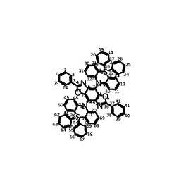 c1ccc(-c2nc3c(N4c5ccccc5S(c5ccccc5)(c5ccccc5)c5ccccc54)c4oc(-c5ccccc5)nc4c(N4c5ccccc5S(c5ccccc5)(c5ccccc5)c5ccccc54)c3o2)cc1